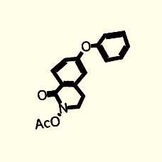 CC(=O)ON1CCc2cc(Oc3ccccc3)ccc2C1=O